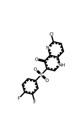 O=c1c(S(=O)(=O)c2ccc(F)c(F)c2)c[nH]c2ccc(Cl)nc12